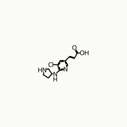 O=C(O)/C=C/c1cnc(N[C@@H]2CCNC2)c(Cl)c1